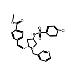 COC(=O)c1ccc(/C=C\[C@@H]2C[C@@H](NS(=O)(=O)c3ccc(Cl)cc3)CN2Cc2cccnc2)cc1